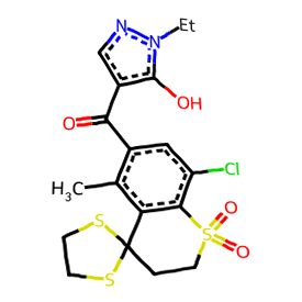 CCn1ncc(C(=O)c2cc(Cl)c3c(c2C)C2(CCS3(=O)=O)SCCS2)c1O